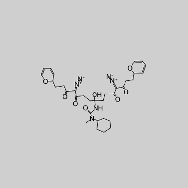 CN(C(=O)NC(O)(CCC(=O)C(=[N+]=[N-])C(=O)CCC1C=CC=CO1)CCC(=O)C(=[N+]=[N-])C(=O)CCC1C=CC=CO1)C1CCCCC1